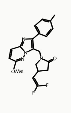 COc1ccc2nc(-c3ccc(C)cc3)c(CN3CC(C=C(F)F)CC3=O)n2n1